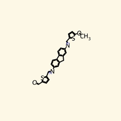 COc1ccc(/C=N/c2ccc3c(c2)Cc2cc(/N=C/c4ccc(C=O)s4)ccc2-3)s1